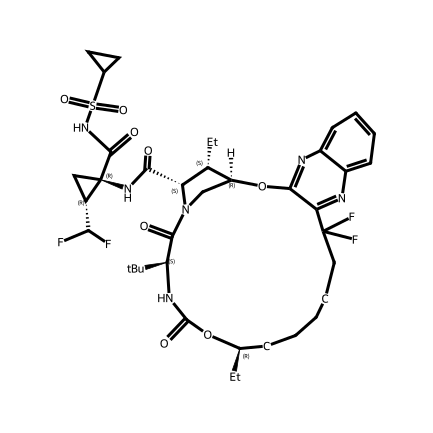 CC[C@@H]1CCCCCC(F)(F)c2nc3ccccc3nc2O[C@H]2CN(C(=O)[C@H](C(C)(C)C)NC(=O)O1)[C@H](C(=O)N[C@]1(C(=O)NS(=O)(=O)C3CC3)C[C@H]1C(F)F)[C@@H]2CC